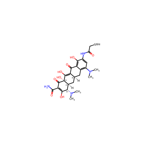 CSCC(=O)Nc1cc(N(C)C)c2c(c1O)C(=O)C1=C(O)[C@]3(O)C(=O)C(C(N)=O)=C(O)[C@@H](N(C)C)[C@@H]3C[C@@H]1C2